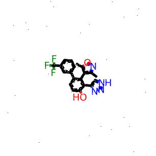 Cc1noc(C)c1-c1c(-c2cccc(C(F)(F)F)c2)ccc(O)c1-c1c[nH]nn1